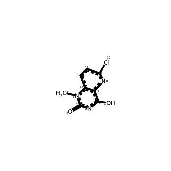 Cn1c(=O)nc(O)c2nc(Cl)ccc21